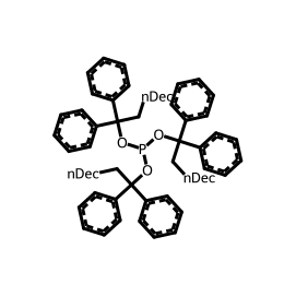 CCCCCCCCCCCC(OP(OC(CCCCCCCCCCC)(c1ccccc1)c1ccccc1)OC(CCCCCCCCCCC)(c1ccccc1)c1ccccc1)(c1ccccc1)c1ccccc1